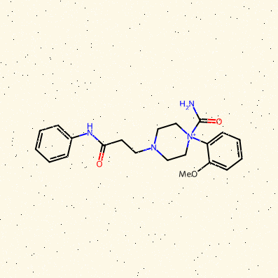 COc1ccccc1[N+]1(C(N)=O)CCN(CCC(=O)Nc2ccccc2)CC1